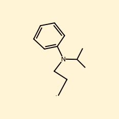 [CH2]CCN(c1ccccc1)C(C)C